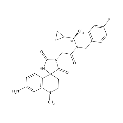 CN1CCC2(NC(=O)N(CC(=O)N(Cc3ccc(F)cc3)[C@@H](C3CC3)C(F)(F)F)C2=O)c2ccc(N)cc21